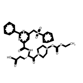 CCOC(=O)ON1CCN(C(=O)[C@H](CCC(=O)O)NC(=O)c2cc(CS(=O)(=O)c3ccccc3)nc(-c3ccccc3)n2)CC1